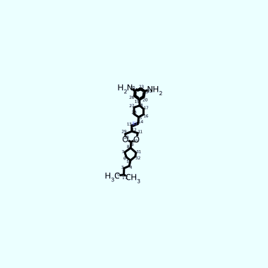 CC(C)CCC1CCC(C2OCC(/C=C/C3CCC(c4cc(N)cc(N)c4)CC3)CO2)CC1